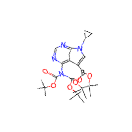 CC(C)(C)OC(=O)N(C(=O)OC(C)(C)C)c1ncnc2c1c(B1OC(C)(C)C(C)(C)O1)cn2C1CC1